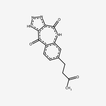 CC(=O)CCc1ccc2c(=O)c3[nH]nnc3c(=O)[nH]c2c1